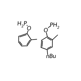 CCCCc1ccc(OP)c(C)c1.Cc1ccccc1OP